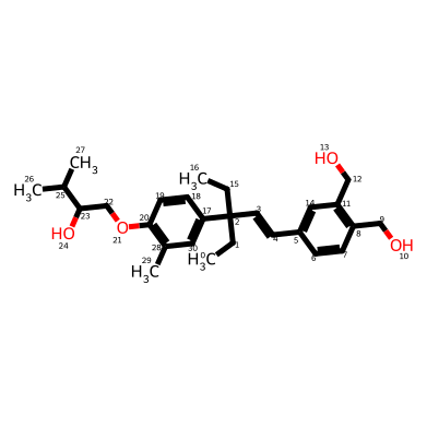 CCC(/C=C/c1ccc(CO)c(CO)c1)(CC)c1ccc(OCC(O)C(C)C)c(C)c1